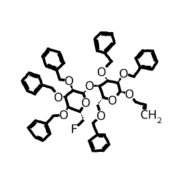 C=CCO[C@H]1O[C@H](COCc2ccccc2)[C@@H](O[C@@H]2O[C@H](CF)[C@@H](OCc3ccccc3)[C@H](OCc3ccccc3)[C@H]2OCc2ccccc2)[C@H](OCc2ccccc2)[C@H]1OCc1ccccc1